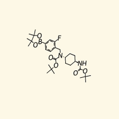 CC(C)(C)OC(=O)N[C@H]1CC[C@H](N(Cc2ccc(B3OC(C)(C)C(C)(C)O3)cc2F)C(=O)OC(C)(C)C)CC1